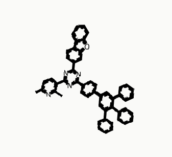 Cc1ccc(-c2nc(-c3ccc(-c4cc(-c5ccccc5)c(-c5ccccc5)c(-c5ccccc5)c4)cc3)nc(-c3ccc4c(c3)oc3ccccc34)n2)c(C)n1